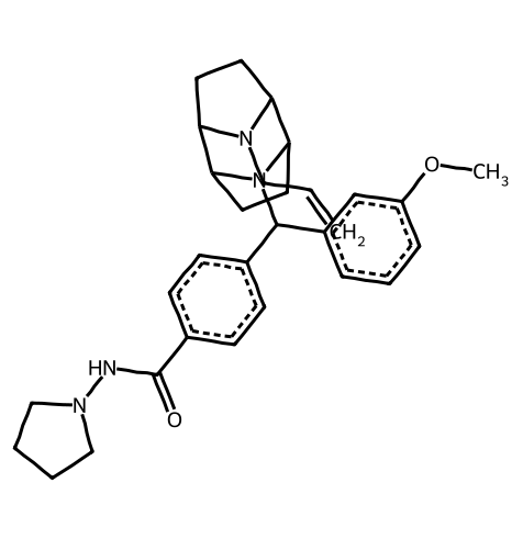 C=CCN1C2CCC1C1CCC2N1C(c1ccc(C(=O)NN2CCCC2)cc1)c1cccc(OC)c1